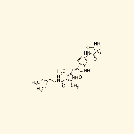 CCN(CC)CCNC(=O)c1c(C)[nH]c(C=C2C(=O)Nc3cc(NC(=O)C4(C(N)=O)CC4)ccc32)c1C